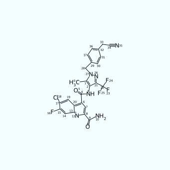 Cc1c(NC(=O)c2cc(C(N)=O)nc3cc(F)c(Cl)cc23)c(C(F)(F)F)nn1Cc1ccc(CC#N)cc1